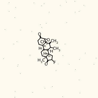 C=C1C(C)[C@@H]2[C@@H](CC[C@]3(C)C(=O)C(F)C[C@@H]23)[C@@]2(C)CCC(=O)C3OC132